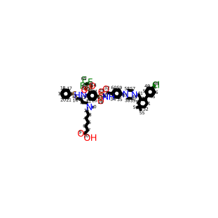 CN(CCCCCCC(=O)O)CCC(CSc1ccccc1)Nc1ccc(S(=O)(=O)NC(=O)c2ccc(N3CCN(CC4=C(c5ccc(Cl)cc5)CCC(C)(C)C4)CC3)cc2)cc1S(=O)(=O)C(F)(F)F